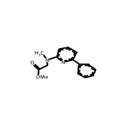 COC(=O)CN(C)c1cccc(-c2ccccc2)n1